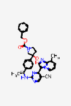 Cc1cccn2c(-c3nc(N[C@@H](C)c4ccc(C5(O)CCN(C(=O)OCc6ccccc6)C5)cc4)ncc3C#N)cnc12